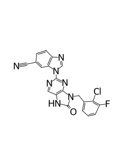 N#Cc1ccc2ncn(-c3ncc4[nH]c(=O)n(Cc5cccc(F)c5Cl)c4n3)c2c1